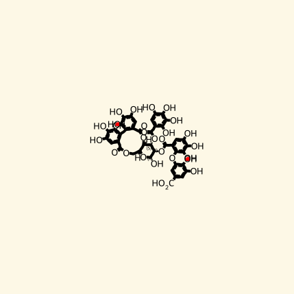 O=C(O)c1cc(O)c(O)c(Oc2c(C(=O)O[C@@H]3[C@@H](OC(=O)c4cc(O)c(O)c(O)c4O)[C@@H]4OC(=O)c5cc(O)c(O)c(O)c5-c5c(cc(O)c(O)c5O)C(=O)OC[C@H]4O[C@H]3O)cc(O)c(O)c2O)c1